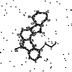 CCCc1cccc2c1c1c3sc4ccccc4c3ccc1n2C